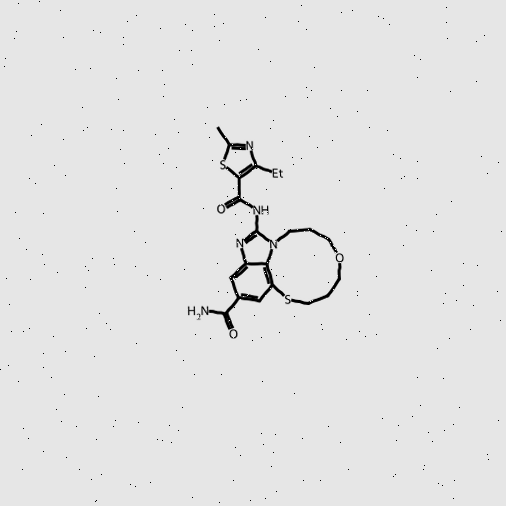 CCc1nc(C)sc1C(=O)Nc1nc2cc(C(N)=O)cc3c2n1CCCOCCCS3